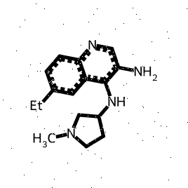 CCc1ccc2ncc(N)c(NC3CCN(C)C3)c2c1